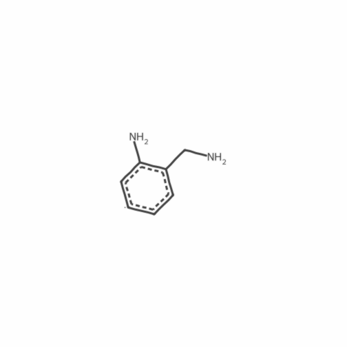 NCc1cc[c]cc1N